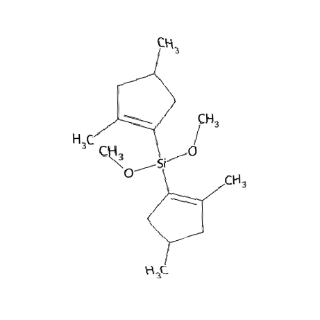 CO[Si](OC)(C1=C(C)CC(C)C1)C1=C(C)CC(C)C1